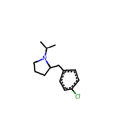 CC(C)N1CCCC1Cc1ccc(Cl)cc1